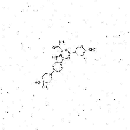 CC1=CCC(c2cc(C(N)=O)c3[nH]c4cc(N5CCC(C)(O)CC5)ccc4c3n2)C=N1